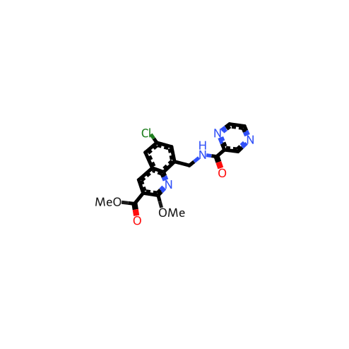 COC(=O)c1cc2cc(Cl)cc(CNC(=O)c3cnccn3)c2nc1OC